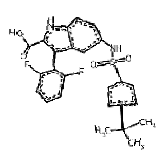 CC(C)(C)c1ccc(S(=O)(=O)Nc2ccc3[nH]c(C(=O)O)c(-c4c(F)cccc4F)c3c2)cc1